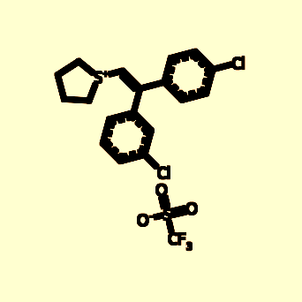 Clc1ccc(C(=C[S+]2CCCC2)c2cccc(Cl)c2)cc1.O=S(=O)([O-])C(F)(F)F